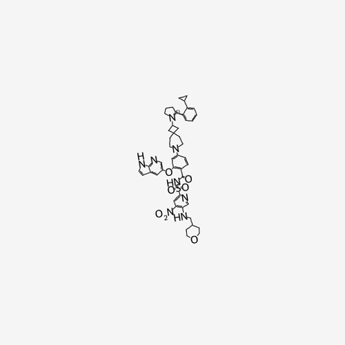 O=C(NS(=O)(=O)c1cc([N+](=O)[O-])c(NCC2CCOCC2)cn1)c1ccc(N2CCC3(CC2)CC(N2CCC[C@H]2c2ccccc2C2CC2)C3)cc1Oc1cnc2[nH]ccc2c1